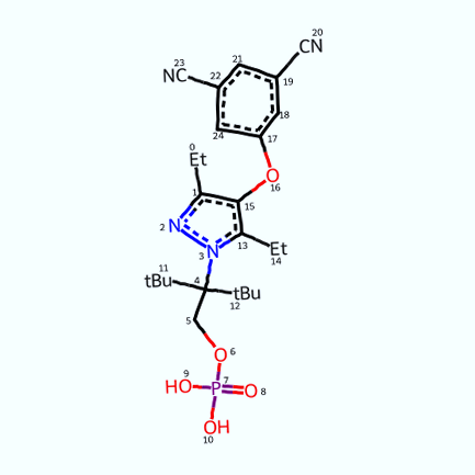 CCc1nn(C(COP(=O)(O)O)(C(C)(C)C)C(C)(C)C)c(CC)c1Oc1cc(C#N)cc(C#N)c1